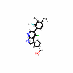 CC(=O)c1c(C)ccc(-c2cnc3c(c2Cl)[C@]2(CC[C@H](CO)C2)CN3)c1F